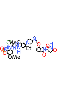 CCc1cc(Nc2ncc(Cl)c(Nc3ccc(OC)cc3N(C)S(C)(=O)=O)n2)c(OC)cc1N1CCC(N(C)CCOc2cccc3c2CN(C2CCC(=O)NC2=O)C3=O)CC1